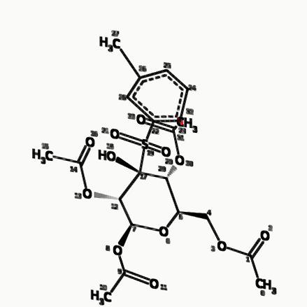 CC(=O)OC[C@H]1O[C@@H](OC(C)=O)[C@H](OC(C)=O)[C@](O)(S(=O)(=O)c2cccc(C)c2)[C@@H]1OC(C)=O